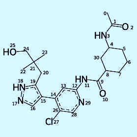 CC(=O)NC1CCCC(C(=O)Nc2cc(-c3cn[nH]c3CC(C)(C)CO)c(Cl)cn2)C1